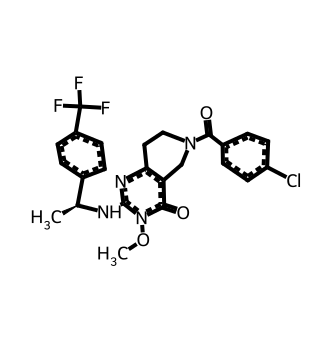 COn1c(N[C@@H](C)c2ccc(C(F)(F)F)cc2)nc2c(c1=O)CN(C(=O)c1ccc(Cl)cc1)CC2